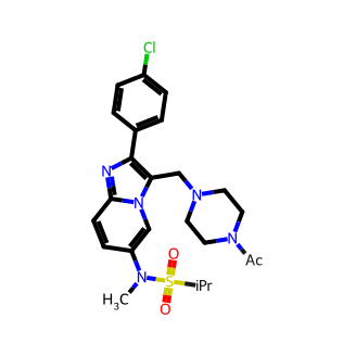 CC(=O)N1CCN(Cc2c(-c3ccc(Cl)cc3)nc3ccc(N(C)S(=O)(=O)C(C)C)cn23)CC1